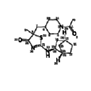 CC(=O)N1CCC(CC2(C)SC(N[C@H]3C[C@H]4CC[C@H]3C4)=NC2=O)CC1